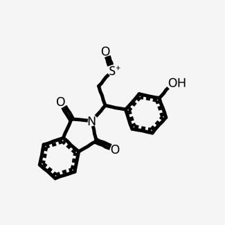 O=[S+]CC(c1cccc(O)c1)N1C(=O)c2ccccc2C1=O